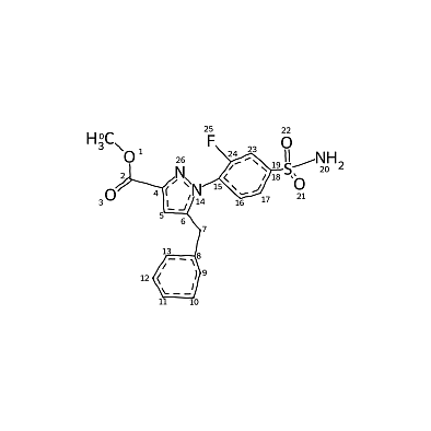 COC(=O)c1cc(Cc2ccccc2)n(-c2ccc(S(N)(=O)=O)cc2F)n1